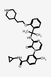 Cc1ccc(C(=O)NC2CC2)cc1-n1ccnc(NC(C)(C)c2ccccc2OCCC2CCNCC2)c1=O